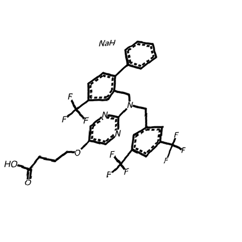 O=C(O)CCCOc1cnc(N(Cc2cc(C(F)(F)F)cc(C(F)(F)F)c2)Cc2cc(C(F)(F)F)ccc2-c2ccccc2)nc1.[NaH]